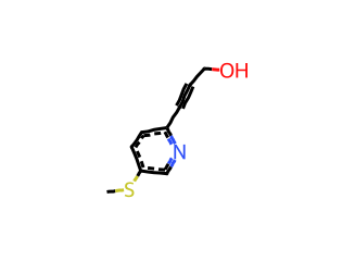 CSc1ccc(C#CCO)nc1